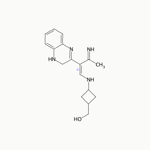 CC(=N)/C(=C\NC1CC(CO)C1)C1=Nc2ccccc2NC1